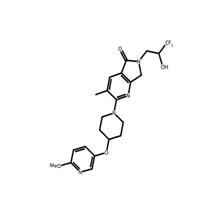 COc1ccc(OC2CCN(c3nc4c(cc3C)C(=O)N(CC(O)C(F)(F)F)C4)CC2)cn1